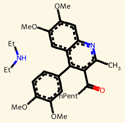 CCCCCC(=O)c1c(C)nc2cc(OC)c(OC)cc2c1-c1ccc(OC)c(OC)c1.CCNCC